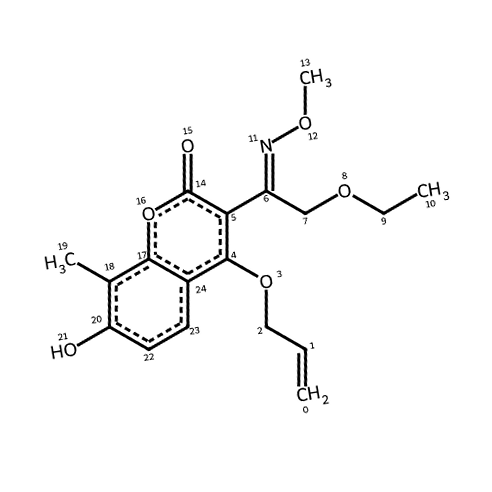 C=CCOc1c(C(COCC)=NOC)c(=O)oc2c(C)c(O)ccc12